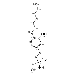 CCCC(N)(CO)CCc1ccc(OCCCCCC(C)C)c(O)c1